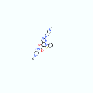 CN1CC2CN(c3ncc4c(=O)c(C(=O)NC5CCN(C6CC6)CC5)c5sc6ccccc6n5c4n3)CC2C1